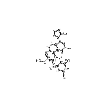 Cc1cc(-c2ccnn2C)c2cccc(OCc3c(Cl)cc(F)cc3[C@H](C)NC(=O)CO)c2n1